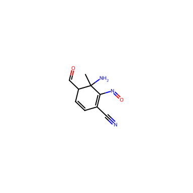 CC1(N)C(N=O)=C(C#N)C=CC1C=O